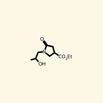 CCOC(=O)C1CC(=O)N(CC(C)O)C1